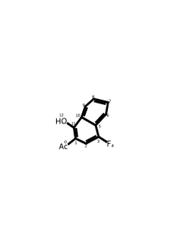 CC(=O)c1cc(F)c2ccccc2c1O